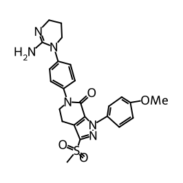 COc1ccc(-n2nc(S(C)(=O)=O)c3c2C(=O)N(c2ccc(N4CCCN=C4N)cc2)CC3)cc1